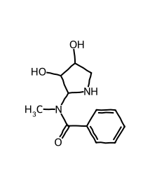 CN(C(=O)c1ccccc1)C1NCC(O)C1O